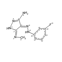 C/N=C1/NN=C(N)/C1=N/Nc1cccc(F)c1